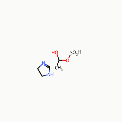 C1=NCCN1.CC(O)OS(=O)(=O)O